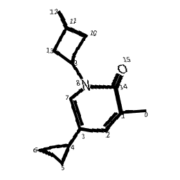 Cc1cc(C2CC2)cn(C2CC(C)C2)c1=O